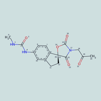 CNC(=O)Nc1ccc2c(c1)CC[C@]21OC(=O)N(CC(C)=O)C1=O